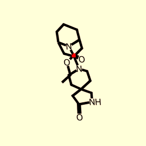 CCOC(=O)N1C2CCCC1CC(N1CCC3(CC1)CNC(=O)C3)C2